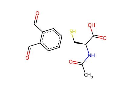 CC(=O)N[C@@H](CS)C(=O)O.O=Cc1ccccc1C=O